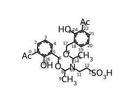 CC(=O)c1cccc(COC(C)N(CCS(=O)(=O)O)C(C)OCc2cccc(C(C)=O)c2O)c1O